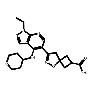 CCn1ncc2c(NC3CCOCC3)c(C3=NOC4(C3)CC(C(N)=O)C4)cnc21